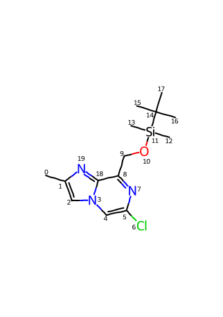 Cc1cn2cc(Cl)nc(CO[Si](C)(C)C(C)(C)C)c2n1